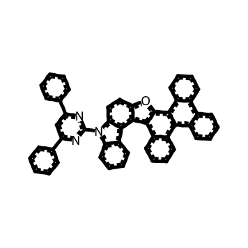 c1ccc(-c2cc(-c3ccccc3)nc(-n3c4ccccc4c4c5c(ccc43)oc3c4c6ccccc6c6ccccc6c4c4ccccc4c35)n2)cc1